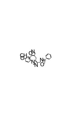 COc1ccc2c(c1)-c1oncc1Cc1c(C3=N[C@H](c4ccccc4)CO3)ncn1-2